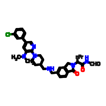 CCCC(C(=O)NC=O)N1Cc2cc(CNCC3CCN(c4ncc(-c5cccc(Cl)c5)cc4N(C)C)CC3)ccc2C1=O